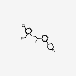 CN1CCN(c2cccc([C@@H](F)CCc3ccc(Cl)cc3CF)c2)CC1